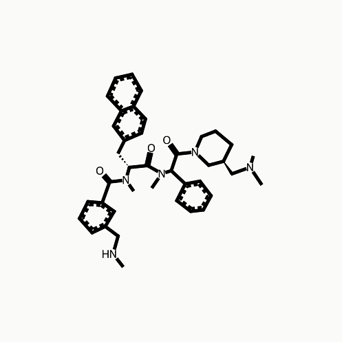 CNCc1cccc(C(=O)N(C)[C@H](Cc2ccc3ccccc3c2)C(=O)N(C)C(C(=O)N2CCC[C@@H](CN(C)C)C2)c2ccccc2)c1